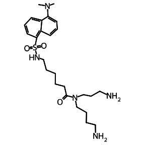 CN(C)c1cccc2c(S(=O)(=O)NCCCCCC(=O)N(CCCN)CCCCN)cccc12